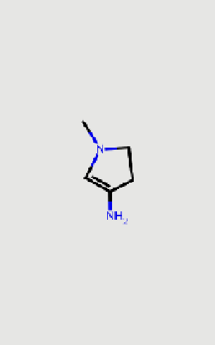 CN1C=C(N)CC1